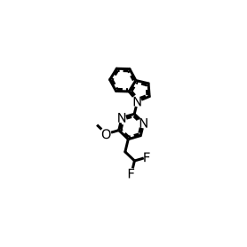 COc1nc(-n2ccc3ccccc32)ncc1CC(F)F